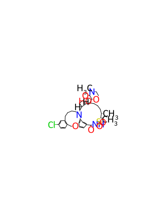 C[C@@H]1[C@@H](C)CCC[C@](O)([C@H]2OCCN(C)C2=O)[C@@H]2CC[C@H]2CN2CCCCc3cc(Cl)ccc3COc3ccc(cc32)C(=O)NS1(=O)=O